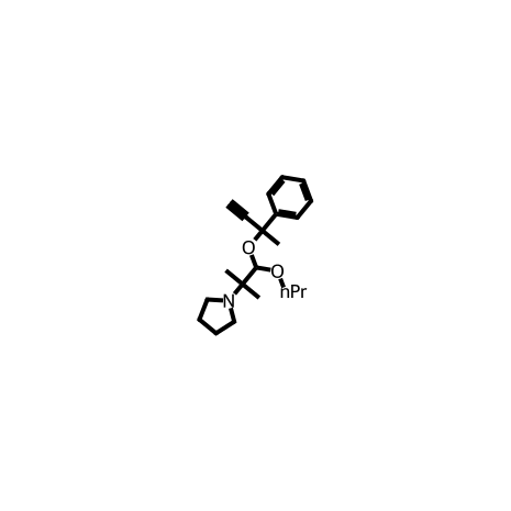 C#CC(C)(OC(OCCC)C(C)(C)N1CCCC1)c1ccccc1